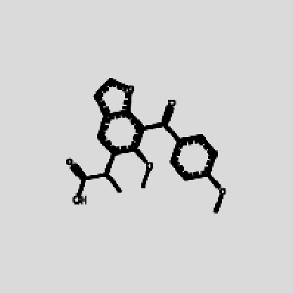 COc1ccc(C(=O)c2c(OC)c(C(C)C(=O)O)cc3ccoc23)cc1